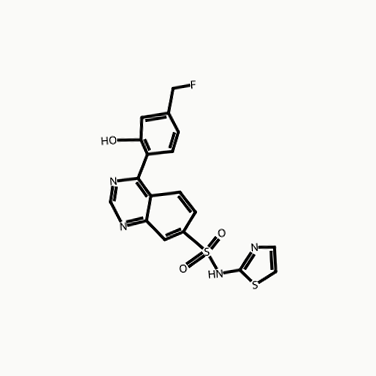 O=S(=O)(Nc1nccs1)c1ccc2c(-c3ccc(CF)cc3O)ncnc2c1